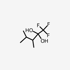 CC(C)C(C)C(O)(O)C(F)(F)F